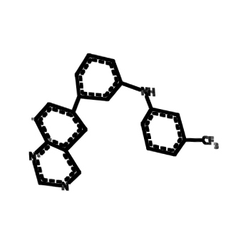 FC(F)(F)c1cccc(Nc2cccc(-c3c[c]c4ncncc4c3)c2)c1